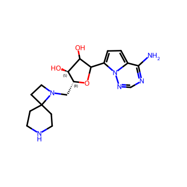 Nc1ncnn2c(C3O[C@H](CN4CCC45CCNCC5)[C@@H](O)C3O)ccc12